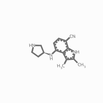 Cc1[nH]c2c(C#N)ccc(N[C@H]3CCNC3)c2c1C